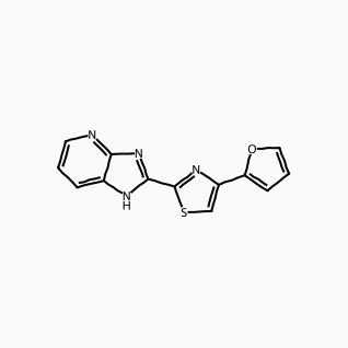 c1coc(-c2csc(-c3nc4ncccc4[nH]3)n2)c1